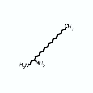 CCCCCCCCCCCCCC[CH]C(N)CCN